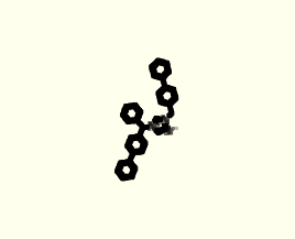 [Br-].c1ccc(-c2ccc(Cn3cc[n+](C(c4ccccc4)c4ccc(-c5ccccc5)cc4)c3)cc2)cc1